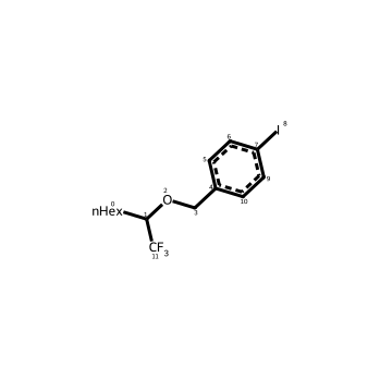 CCCCCCC(OCc1ccc(I)cc1)C(F)(F)F